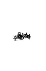 O=C(NCC1CC2C=CC1C2)NS(=O)(=O)C=Cc1ccccc1